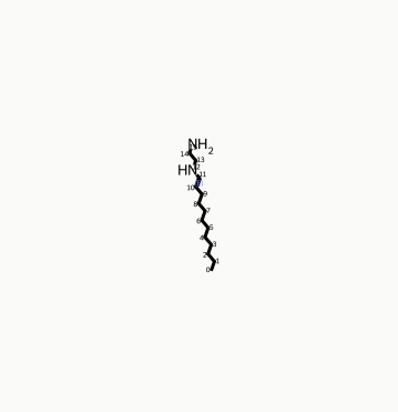 CCCCCCCCCC/C=C/NCCN